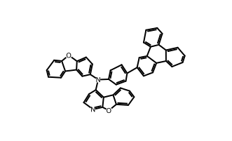 c1ccc2c(c1)oc1ccc(N(c3ccc(-c4ccc5c6ccccc6c6ccccc6c5c4)cc3)c3ccnc4oc5ccccc5c34)cc12